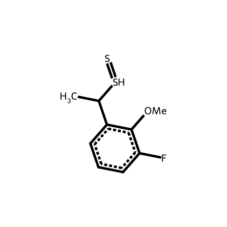 COc1c(F)cccc1C(C)[SH]=S